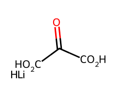 O=C(O)C(=O)C(=O)O.[LiH]